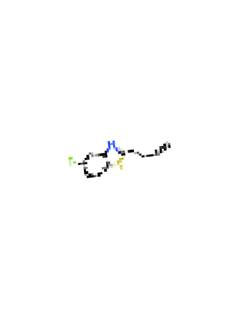 C#CCCc1nc2cc(F)ccc2s1